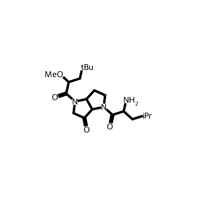 COC(CC(C)(C)C)C(=O)N1CC(=O)C2C1CCN2C(=O)C(N)CC(C)C